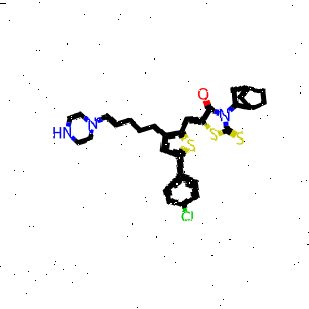 O=C1/C(=C/c2sc(-c3ccc(Cl)cc3)cc2CCCCCN2CCNCC2)SC(=S)N1C1CC2CCC1C2